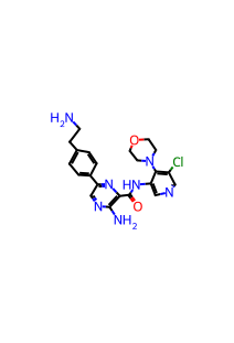 NCCc1ccc(-c2cnc(N)c(C(=O)Nc3cncc(Cl)c3N3CCOCC3)n2)cc1